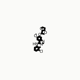 COc1cc2c(Nc3cccc(Cl)c3C)ncnc2cc1O[C@@H]1COC2CCOC21